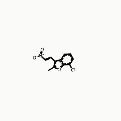 Cc1oc2c(Cl)cccc2c1C=C[N+](=O)[O-]